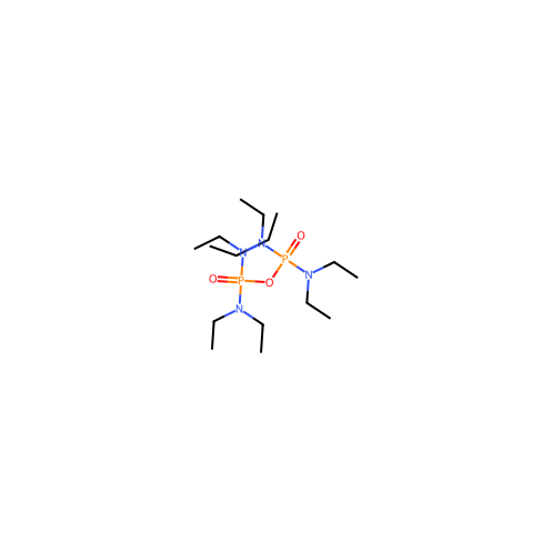 CCN(CC)P(=O)(OP(=O)(N(CC)CC)N(CC)CC)N(CC)CC